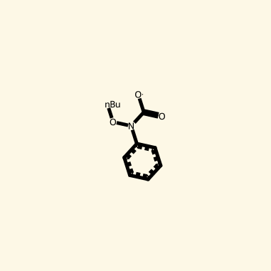 CCCCON(C([O])=O)c1ccccc1